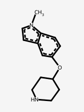 Cn1ccc2cc(OC3CCNCC3)ccc21